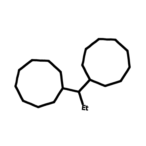 CCC(C1CCCCCCCC1)C1CCCCCCCC1